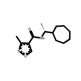 Cc1nocc1C(=O)N[C@H](C)C1CCCCCC1